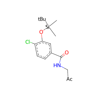 CC(=O)CNC(=O)c1ccc(Cl)c(O[Si](C)(C)C(C)(C)C)c1